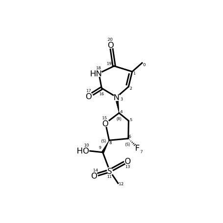 Cc1cn([C@H]2C[C@H](F)[C@@H](C(O)S(C)(=O)=O)O2)c(=O)[nH]c1=O